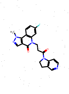 Cn1ncc2c(=O)n(CCC(=O)N3CCc4cnccc43)c3cc(F)ccc3c21